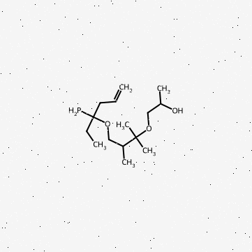 C=CCC(P)(CC)OCC(C)C(C)(C)OCC(C)O